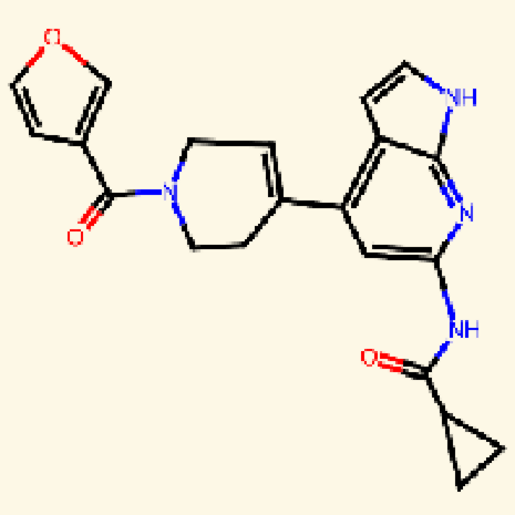 O=C(Nc1cc(C2=CCN(C(=O)c3ccoc3)CC2)c2cc[nH]c2n1)C1CC1